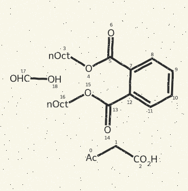 CC(=O)CC(=O)O.CCCCCCCCOC(=O)c1ccccc1C(=O)OCCCCCCCC.O=CO